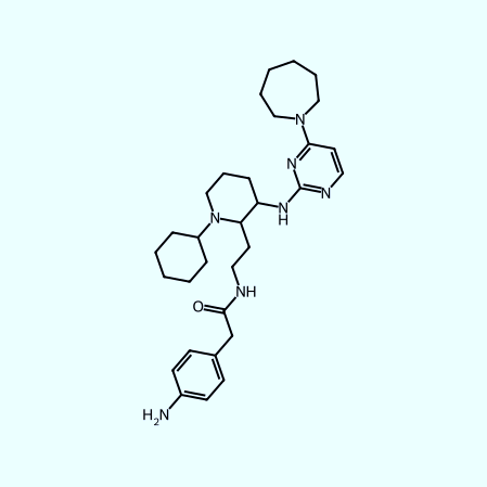 Nc1ccc(CC(=O)NCCC2C(Nc3nccc(N4CCCCCC4)n3)CCCN2C2CCCCC2)cc1